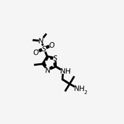 Cc1nc(NCC(C)(C)N)sc1S(=O)(=O)N(C)C